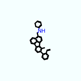 C=Cc1ccccc1-c1ccc2c(c1C)-c1ccc(CNC3=CC=CCC3)c3cccc-2c13